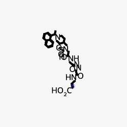 CC(c1cccc2ccccc12)N1CCC(CN(CC(=O)NCc2nnc(C(=O)NC/C=C/C(=O)O)o2)[SH](=O)=O)CC1